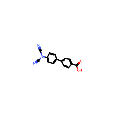 N#CN(C#N)c1ccc(-c2ccc(C(=O)O)cc2)cc1